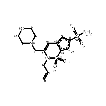 C=CCN1C(CN2CCOCC2)=Cc2cc(S(N)(=O)=O)sc2S1(=O)=O